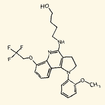 COc1ccccc1N1CCc2c(NCCCCO)nc3c(OCC(F)(F)F)cccc3c21